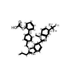 CCCc1nc2ccc(-c3nc4cc(C(F)(F)F)ccc4n3C)cc2n1Cc1ccc(-c2ccccc2OC(=O)O)cc1